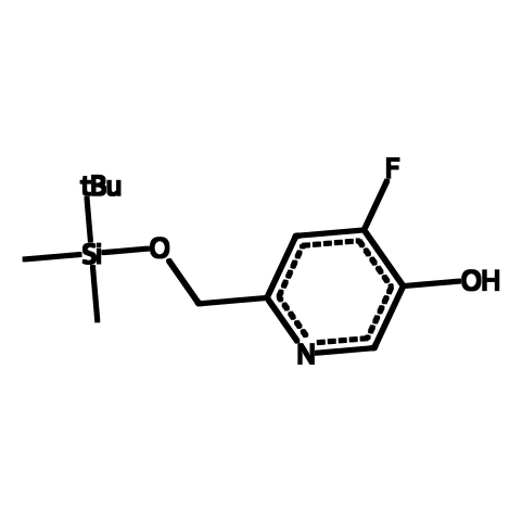 CC(C)(C)[Si](C)(C)OCc1cc(F)c(O)cn1